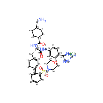 Cl.NCC1CCC(C(=O)N[C@@H](Cc2ccc(-c3ccccc3S(=O)(=O)N3CCOCC3)cc2)C(=O)Nc2ccc(-c3nn[nH]n3)cc2)CC1